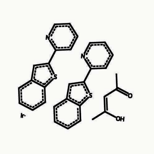 CC(=O)C=C(C)O.[Ir].c1ccc(-c2cc3ccccc3s2)nc1.c1ccc(-c2cc3ccccc3s2)nc1